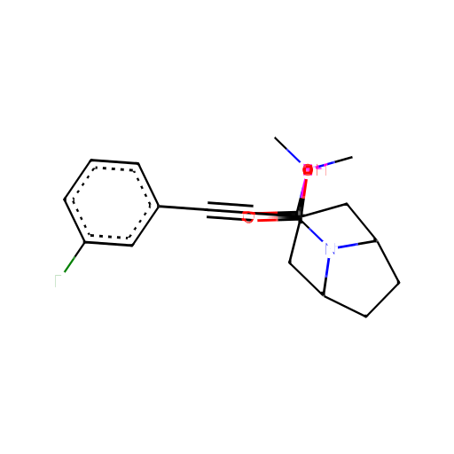 CN(C)C(=O)N1C2CCC1CC(O)(C#Cc1cccc(F)c1)C2